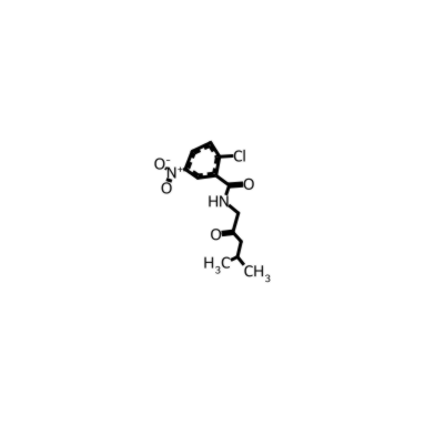 CC(C)CC(=O)CNC(=O)c1cc([N+](=O)[O-])ccc1Cl